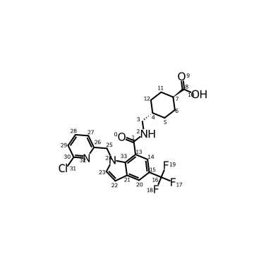 O=C(NC[C@H]1CC[C@H](C(=O)O)CC1)c1cc(C(F)(F)F)cc2ccn(Cc3cccc(Cl)n3)c12